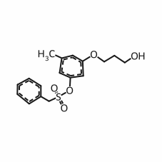 Cc1cc(OCCCO)cc(OS(=O)(=O)Cc2ccccc2)c1